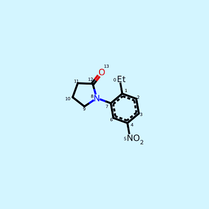 CCc1ccc([N+](=O)[O-])cc1N1CCCC1=O